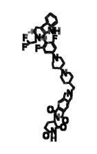 C[C@@H]1Cc2c([nH]c3ccccc23)[C@@H](c2c(F)cc(N3CCC(N4CCC(CN5Cc6cc7c(cc6C5)C(=O)N(C5CCC(=O)NC5=O)C7=O)CC4)CC3)cc2F)N1CC(F)F